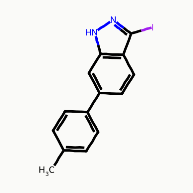 Cc1ccc(-c2ccc3c(I)n[nH]c3c2)cc1